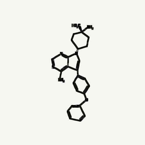 Nc1ncnc2c1c(-c1ccc(Oc3ccccc3)cc1)cn2[C@H]1CC[C@](N)(C(=O)O)CC1